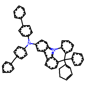 C1=CCCC(C2(c3ccccc3)c3ccccc3-n3c4ccc(N(c5ccc(-c6ccccc6)cc5)c5ccc(-c6ccccc6)cc5)cc4c4cccc2c43)=C1